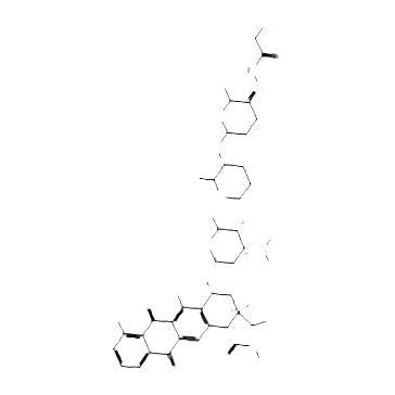 CCC(=O)N/N=C1/CCC(O[C@@H]2C(C)O[C@@H](O[C@@H]3C(C)O[C@@H](O[C@H]4C[C@](O)(CC)[C@H](C(=O)OC)c5cc6c(c(O)c54)C(=O)c4c(O)cccc4C6=O)C[C@H]3N(C)C)C[C@H]2O)OC1C